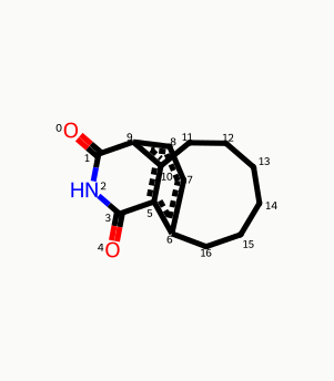 O=C1NC(=O)c2c3ccc1c2CCCCCC3